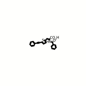 O=C(O)/C(=C/c1ccc(C#Cc2ccccc2)s1)NC(=O)c1ccccc1